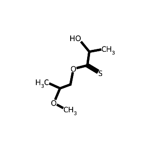 COC(C)COC(=S)C(C)O